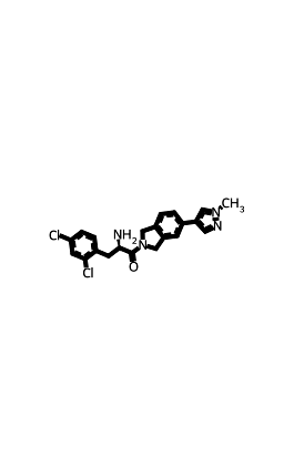 Cn1cc(-c2ccc3c(c2)CN(C(=O)[C@H](N)Cc2ccc(Cl)cc2Cl)C3)cn1